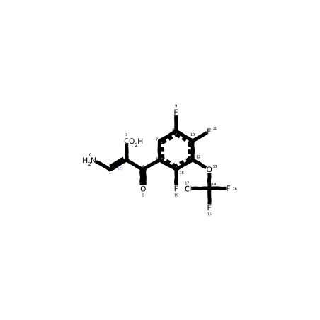 N/C=C(\C(=O)O)C(=O)c1cc(F)c(F)c(OC(F)(F)Cl)c1F